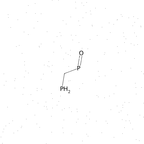 O=PCP